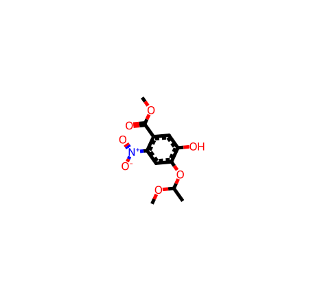 COC(=O)c1cc(O)c(OC(C)OC)cc1[N+](=O)[O-]